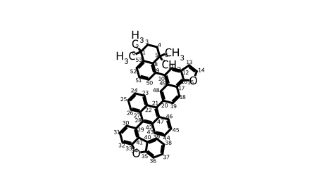 CC1(C)CCC(C)(C)c2c(-c3cc4ccoc4c4ccc(-c5c6ccccc6c(-c6cccc7oc8ccccc8c67)c6ccccc56)cc34)cccc21